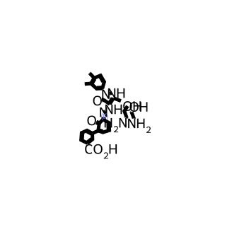 Cc1ccc(-n2[nH]c(C)c(N/N=C3\C=CC=C(c4cccc(C(=O)O)c4)C3=O)c2=O)cc1C.NCCO.NCCO